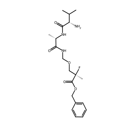 CC(C)[C@H](N)C(=O)N[C@@H](C)C(=O)NCOC[C@@](C)(F)C(=O)OCc1ccccc1